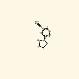 N#Cc1ccnc(C2CCCC2)c1